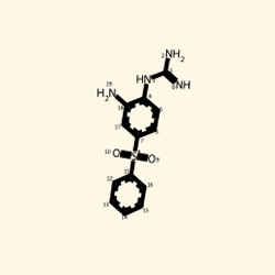 N=C(N)Nc1ccc(S(=O)(=O)c2ccccc2)cc1N